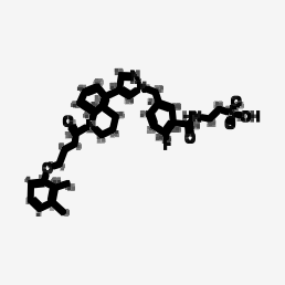 Cc1cccc(OCCCC(=O)N2CCCc3c(-c4cnn(Cc5ccc(F)c(C(=O)NCCS(=O)(=O)O)c5)c4)cccc32)c1C